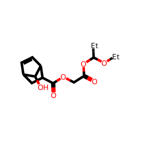 CCOC(CC)OC(=O)COC(=O)C1CC2C=CC1C2O